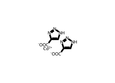 O=C([O-])c1c[nH]nn1.O=C([O-])c1c[nH]nn1.[Cd+2]